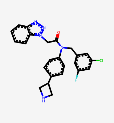 O=C(Cn1nnc2ccccc21)N(Cc1cc(F)cc(Cl)c1)c1ccc(C2CNC2)cc1